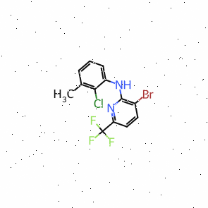 Cc1cccc(Nc2nc(C(F)(F)F)ccc2Br)c1Cl